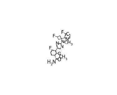 COc1c(C(N)=O)ccc(F)c1-c1cnc(N(C)C2(c3ncccc3F)CC(F)C2)nc1